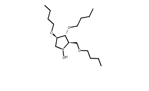 CCCCOC[C@@H]1[C@@H](OCCCC)[C@H](OCCCC)CN1O